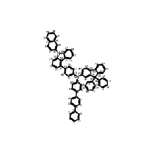 c1ccc(-c2ccc(-c3ccc(N(c4ccc(-c5cccc6c5c5ccccc5n6-c5ccc6ccccc6c5)cc4)c4ccc5c(c4)C(c4ccccc4)(c4ccccc4)c4ccccc4-5)cc3)cc2)cc1